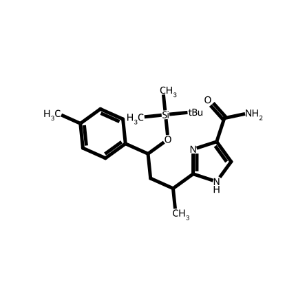 Cc1ccc(C(CC(C)c2nc(C(N)=O)c[nH]2)O[Si](C)(C)C(C)(C)C)cc1